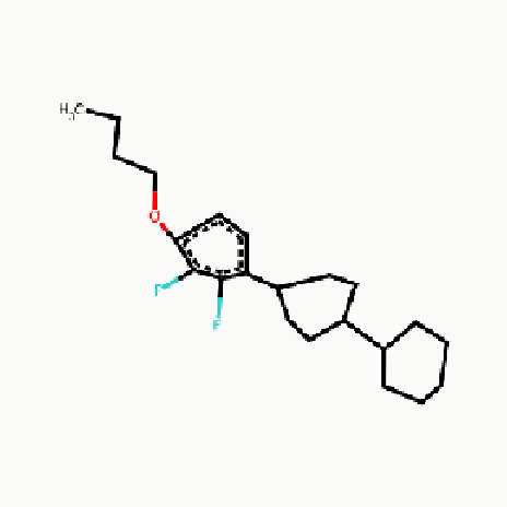 CCCCOc1ccc(C2CCC(C3CCCCC3)CC2)c(F)c1F